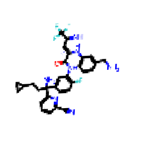 N#Cc1cccc(C(N)(CCC2CC2)c2ccc(F)c(NC(=O)/C(=C/C(=N)C(F)(F)F)Nc3cccc(CN)c3)c2)n1